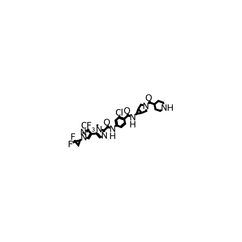 Cn1c(-c2cn(C3CC3(F)F)nc2C(F)(F)F)cnc1C(=O)Nc1ccc(C(=O)NC2C3CN(C(=O)C4CCNCC4)CC32)c(Cl)c1